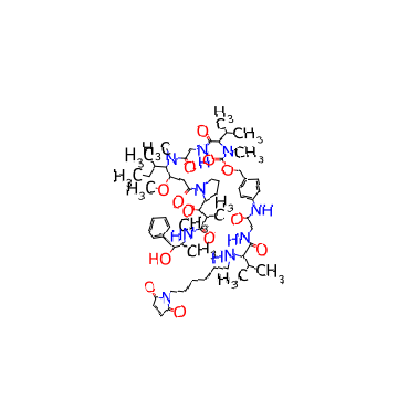 CCC(C)C(C(CC(=O)N1CCCC1C(OC)C(C)C(=O)NC(C)C(O)c1ccccc1)OC)N(C)C(=O)CNC(=O)C(C(C)C)N(C)C(=O)OCc1ccc(NC(=O)CNC(=O)C(NCCCCCCN2C(=O)C=CC2=O)C(C)C)cc1